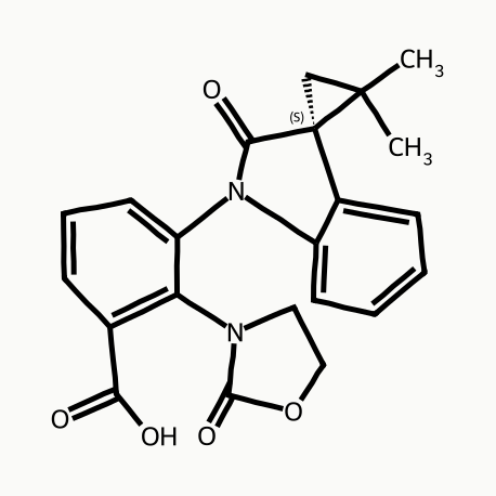 CC1(C)C[C@]12C(=O)N(c1cccc(C(=O)O)c1N1CCOC1=O)c1ccccc12